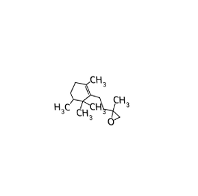 CC1=C(CCC2(C)CO2)C(C)(C)C(C)CC1